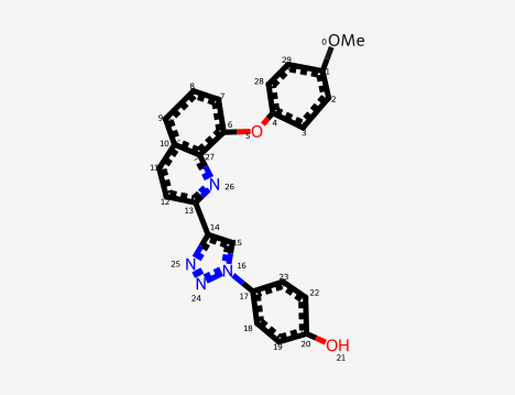 COc1ccc(Oc2cccc3ccc(-c4cn(-c5ccc(O)cc5)nn4)nc23)cc1